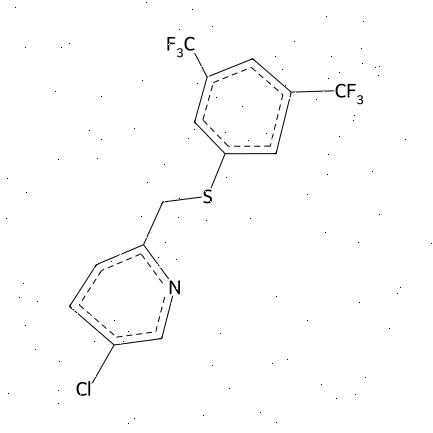 FC(F)(F)c1cc(SCc2ccc(Cl)cn2)cc(C(F)(F)F)c1